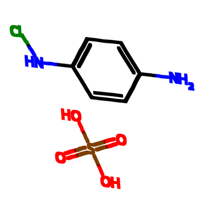 Nc1ccc(NCl)cc1.O=S(=O)(O)O